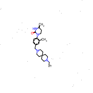 C=C1CCN(c2ccc(CN3CCC4(CC3)CCN(CC(C)C)CC4)cc2C)C(=O)N1